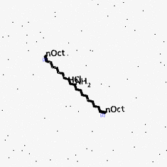 CCCCCCCC/C=C\CCCCCCCCC(N)CCCCCCCC/C=C\CCCCCCCC.Cl